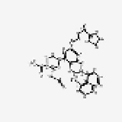 CN(CCOc1nc2c(c(C3CCN(C(=O)O)[C@@H](CC#N)C3)n1)CCN(c1cccc3cccc(Cl)c13)C2)C1CCCC1